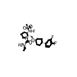 CCNC(=O)N1CCC[C@H](NS(C)(=O)=O)[C@@H]1CO[C@H]1CC[C@@H](c2ccc(F)c(F)c2)CC1